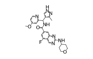 COc1ccnc(C(NC(=O)c2cc(F)c3cnc(NC4CCOCC4)nc3c2)c2c[nH]nc2C)c1